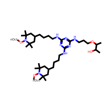 CCCCCCCCON1C(C)(C)CC(CCCCNc2nc(NCCCCC3CC(C)(C)N(OCCCCCCCC)C(C)(C)C3)nc(NCCCOC(C)C(C)O)n2)CC1(C)C